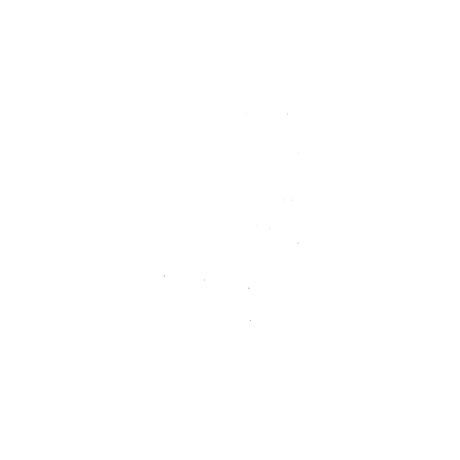 [S]=[Sb]([O]c1ccccc1)([S]c1ccccc1)[S]c1ccccc1